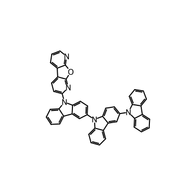 c1cnc2oc3nc(-n4c5ccccc5c5cc(-n6c7ccccc7c7cc(-n8c9ccccc9c9ccccc98)ccc76)ccc54)ccc3c2c1